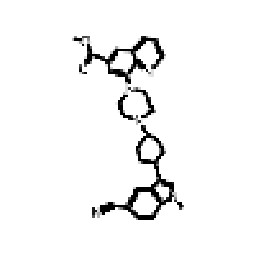 COC(=O)c1cc(N2CCN(C3CCC(c4cn(C)c5ccc(C#N)cc45)CC3)CC2)c2ncccc2c1